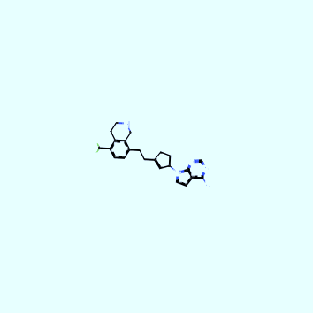 Nc1ncnc2c1ccn2C1C=C(CCc2ccc(C(F)F)c3c2CNCC3)CC1